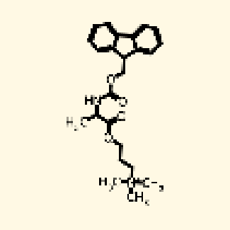 CC(NC(=O)OCC1c2ccccc2-c2ccccc21)C(=O)OCCC[N+](C)(C)C